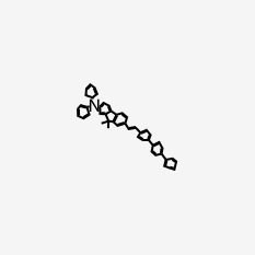 CC1(C)c2cc(/C=C/c3ccc(-c4ccc(-c5ccccc5)cc4)cc3)ccc2-c2ccc(N(c3ccccc3)C3C=CC=CC3)cc21